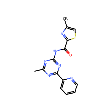 Cc1nc(NC(=O)c2nc(C(F)(F)F)cs2)nc(-c2ccccn2)n1